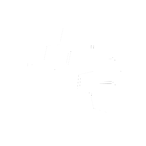 CNc1ncnc2c1c(-c1cc(C)cc(O)c1)cn2C(C)C